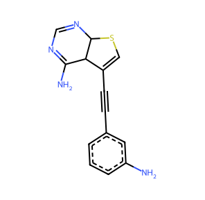 NC1=NC=NC2SC=C(C#Cc3cccc(N)c3)C12